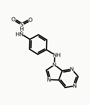 O=[SH](=O)Nc1ccc(Nn2cnc3cncnc32)cc1